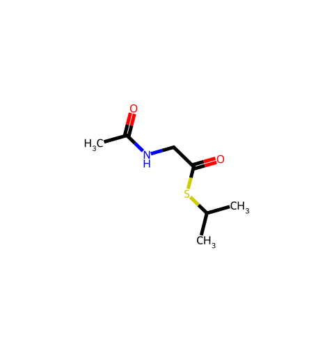 CC(=O)NCC(=O)SC(C)C